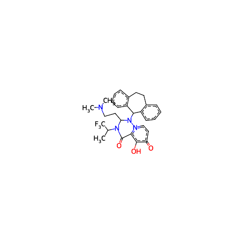 CC(N1C(=O)c2c(O)c(=O)ccn2N(C2c3ccccc3CCc3ccccc32)C1CCN(C)C)C(F)(F)F